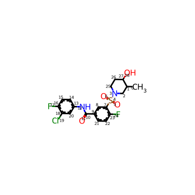 CC1CN(S(=O)(=O)c2cc(C(=O)Nc3ccc(F)c(Cl)c3)ccc2F)CCC1O